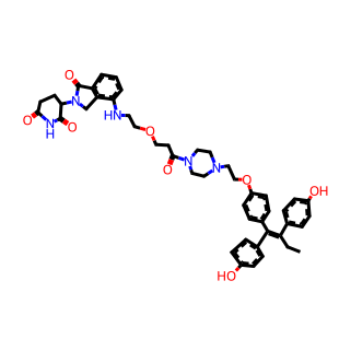 CCC(=C(c1ccc(O)cc1)c1ccc(OCCN2CCN(C(=O)CCOCCNc3cccc4c3CN(C3CCC(=O)NC3=O)C4=O)CC2)cc1)c1ccc(O)cc1